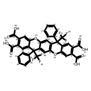 O=C(O)c1cc2c(cc1C(=O)O)C(c1ccccc1)(C(F)(F)F)c1cc3c(cc1O2)C(c1ccccc1)(C(F)(F)F)c1cc(C(=O)O)c(C(=O)O)cc1O3